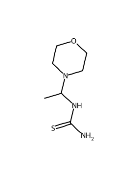 CC(NC(N)=S)N1CCOCC1